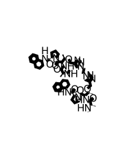 CN[C@@H](C)C(=O)NC(C(=O)N1CCC[C@H]1C(=O)NC1CCCc2ccccc21)[C@@H](C)OCc1cn(CCn2cc(CO[C@H](C)[C@H](NC(=O)[C@H](C)NC)C(=O)N3CCC[C@H]3C(=O)N[C@@H]3CCCc4ccccc43)nn2)nn1